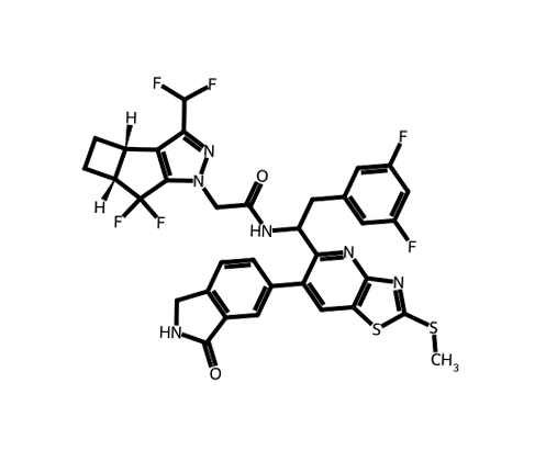 CSc1nc2nc(C(Cc3cc(F)cc(F)c3)NC(=O)Cn3nc(C(F)F)c4c3C(F)(F)[C@@H]3CC[C@H]43)c(-c3ccc4c(c3)C(=O)NC4)cc2s1